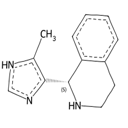 Cc1[nH]cnc1[C@H]1NCCc2ccccc21